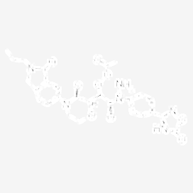 CCCN1Cc2ccc(N3CCO[C@H](C(OOC(C)=O)C(=O)N(N)c4ccc(-c5noc(=O)[nH]5)cc4)C3=O)cc2C1=O